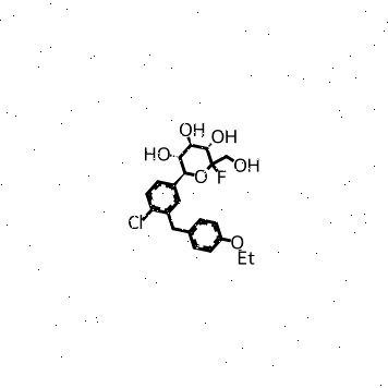 CCOc1ccc(Cc2cc([C@@H]3OC(F)(CO)[C@@H](O)[C@H](O)[C@H]3O)ccc2Cl)cc1